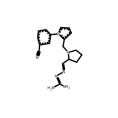 N#Cc1cccc(-n2cccc2CN2CCCC2/C=N/N=C(N)N)c1